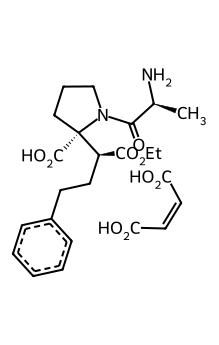 CCOC(=O)[C@@H](CCc1ccccc1)[C@@]1(C(=O)O)CCCN1C(=O)[C@H](C)N.O=C(O)/C=C\C(=O)O